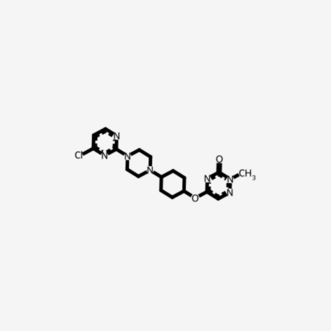 Cn1ncc(OC2CCC(N3CCN(c4nccc(Cl)n4)CC3)CC2)nc1=O